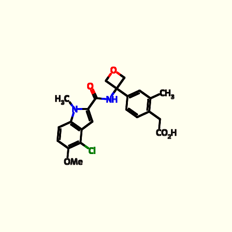 COc1ccc2c(cc(C(=O)NC3(c4ccc(CC(=O)O)c(C)c4)COC3)n2C)c1Cl